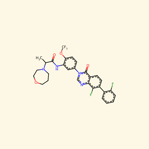 CC(C(=O)Nc1cc(-n2cnc3c(F)c(-c4ccccc4F)ccc3c2=O)ccc1OC(F)(F)F)N1CCCOCC1